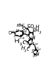 Cc1nc2c(c(C)c(C)n2Cc2cncs2)c(-c2ccc(Cl)cc2)c1[C@H](OC(C)(C)C)C(=O)O